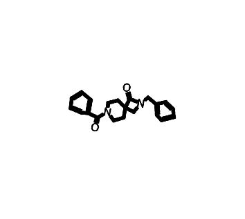 O=C(c1ccccc1)N1CCC2(CC1)CN(Cc1ccccc1)C2=O